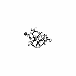 CC1(C)CC(C)(CN=C=O)C(C23C=CC(CC2)C3)C(N=C=O)(C23C=CC(CC2)C3)C1